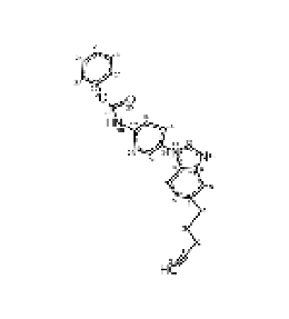 C#CCCCc1ccc2c(c1)ncn2-c1ccc(NC(=O)Oc2ccccc2)cc1